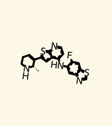 C[C@@H]1NCCC=C1c1cc2c(Nc3cc4ncsc4cc3F)ccnc2s1